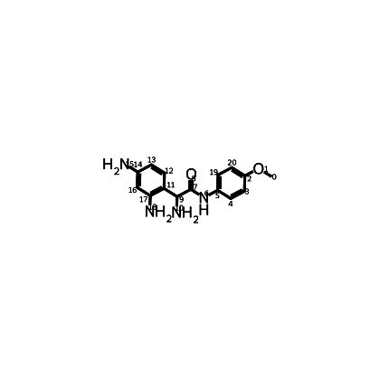 COc1ccc(NC(=O)C(N)c2ccc(N)cc2N)cc1